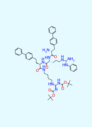 CC(C)(C)OC(=O)/N=C(\NCCCCNC(=O)[C@@H](CCc1ccc(-c2ccccc2)cc1)NC(=O)[C@@H](CCCNC(N)Nc1ccccc1)NC(=O)[C@H](N)Cc1ccc(-c2ccccc2)cc1)NC(=O)OC(C)(C)C